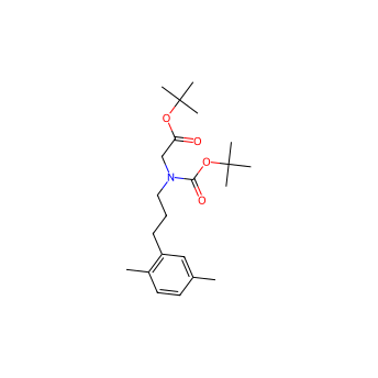 Cc1ccc(C)c(CCCN(CC(=O)OC(C)(C)C)C(=O)OC(C)(C)C)c1